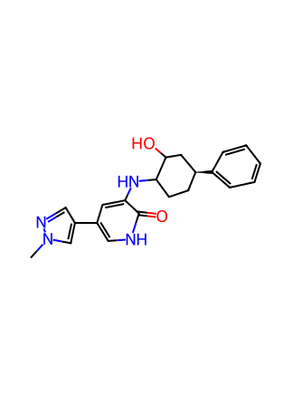 Cn1cc(-c2c[nH]c(=O)c(NC3CC[C@H](c4ccccc4)CC3O)c2)cn1